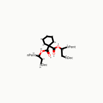 CCCCCCCCCCCC(CCCCC)OC(=O)C1(C(=O)OC(CCCCC)CCCCCCCCCCC)CCCCC1